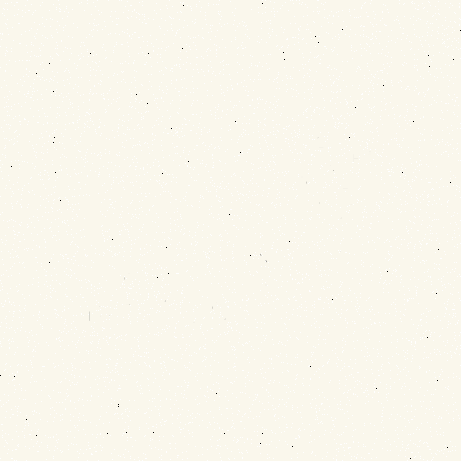 O=C(O)CC1CCC2(CCN(c3cccc(OC(F)(F)F)c3)CC2)OC1